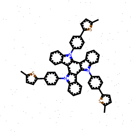 Cc1ccc(-c2ccc(-n3c4ccccc4c4c3c3c5ccccc5n(-c5ccc(-c6ccc(C)s6)cc5)c3c3c5ccccc5n(-c5ccc(-c6ccc(C)s6)cc5)c43)cc2)s1